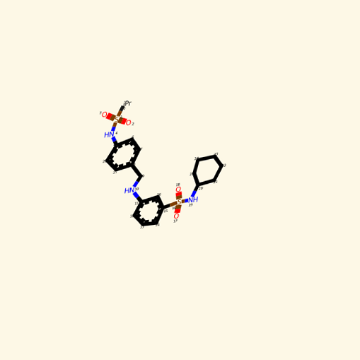 CC(C)S(=O)(=O)Nc1ccc(CNc2cccc(S(=O)(=O)NC3CCCCC3)c2)cc1